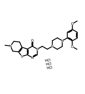 COc1ccc(OC)c(N2CCN(CCn3cnc4sc5c(c4c3=O)CCN(C)C5)CC2)c1.Cl.Cl.Cl